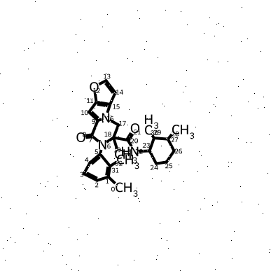 Cc1cccc(N2C(=O)c3cc4occc4n3CC2(C)C(=O)NC2CCCC(C)C2C)c1C